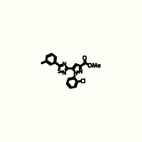 COC(=O)c1cc(-c2nsc(-c3cccc(C)c3)n2)n(-c2ccccc2Cl)n1